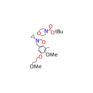 COCCCOc1cc(CN(C(=O)[C@H]2CN(C(=O)OC(C)(C)C)CCO2)C2CC2)cc(C)c1OC